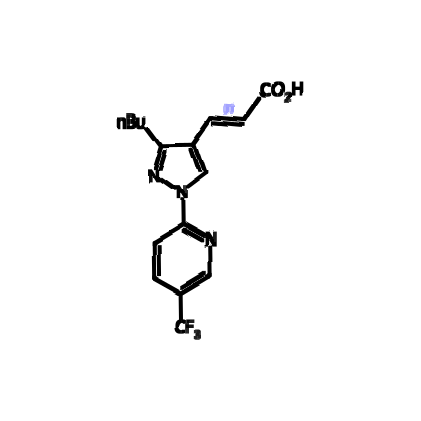 CCCCc1nn(-c2ccc(C(F)(F)F)cn2)cc1/C=C/C(=O)O